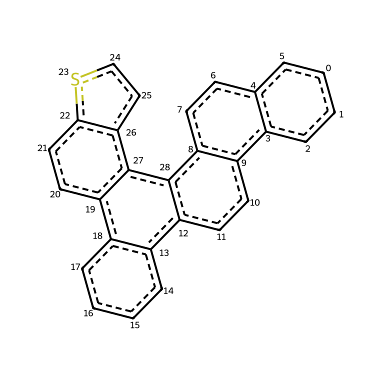 c1ccc2c(c1)ccc1c2ccc2c3ccccc3c3ccc4sccc4c3c12